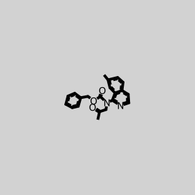 CC(=O)CN(C(=O)OCc1ccccc1)c1nccc2ccc(C)cc12